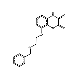 O=C1[N]c2c(cccc2OCCNCc2ccccc2)NC1=O